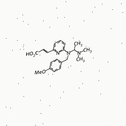 COc1ccc(CN(c2cccc(C=CC(=O)O)n2)C(C)N(C)C)cc1